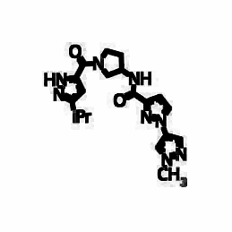 CC(C)c1cc(C(=O)N2CCC(NC(=O)c3ccn(-c4cnn(C)c4)n3)C2)[nH]n1